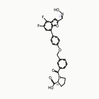 O=C(O)[C@@H]1CCCN1C(=O)c1cccc(COc2ccc(-c3cc(F)c(F)c4cc(/C=N\O)oc34)cc2)c1